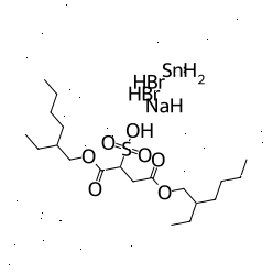 Br.Br.CCCCC(CC)COC(=O)CC(C(=O)OCC(CC)CCCC)S(=O)(=O)O.[NaH].[SnH2]